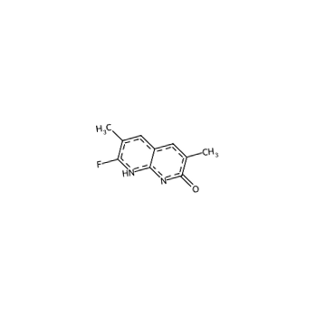 Cc1cc2cc(C)c(=O)nc-2[nH]c1F